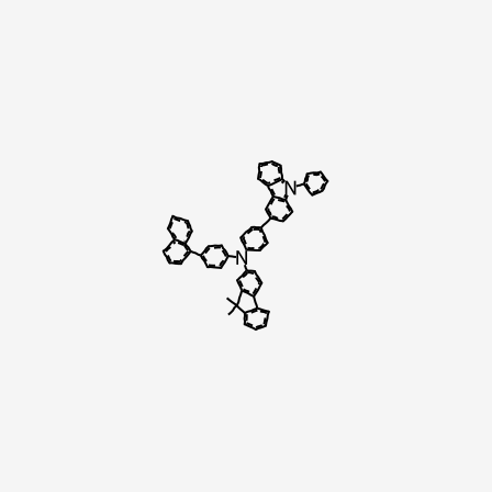 CC1(C)c2ccccc2-c2ccc(N(c3ccc(-c4ccc5c(c4)c4ccccc4n5-c4ccccc4)cc3)c3ccc(-c4cccc5ccccc45)cc3)cc21